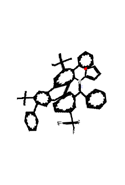 CC(C)(C)c1cc2c(cc1-c1ccccc1)Cc1c-2cc(C(C)(C)C)c(-c2ccccc2)[c]1/[Zr]([C]1=CC=CC1)=[C](/c1ccccc1)c1cccc(C(F)(F)F)c1